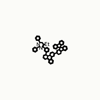 CCC1=C(c2cccc(C3=CC=CC4=c5ccccc5=C5C=C(C6=CC7=C(CC6)c6ccccc6C76c7ccccc7-c7ccccc76)C=CC5C34)c2)N=C(c2ccccc2)N=C(c2ccccc2)C1